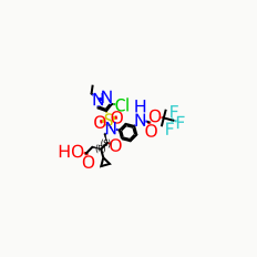 CCn1cc(S(=O)(=O)N2C[C@H]([C@H](CC(=O)O)C3CC3)Oc3ccc(NC(=O)OC(C)(C)C(F)(F)F)cc32)c(Cl)n1